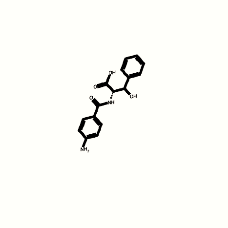 Nc1ccc(C(=O)N[C@H](C(=O)O)C(O)c2ccccc2)cc1